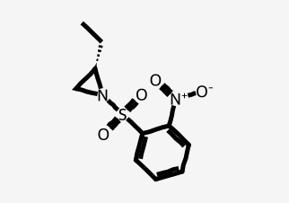 CC[C@H]1CN1S(=O)(=O)c1ccccc1[N+](=O)[O-]